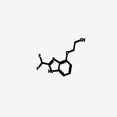 OCCOc1cccc2[nH]c(C(F)F)nc12